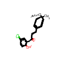 COC1(C)C=CC(C=CC(=O)c2cc(Cl)ccc2O)=CC1